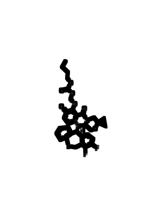 CCCCOC(=O)OCOc1c2n(ccc1=O)N([C@@H]1c3ccccc3SCc3c1ccc(F)c3F)[C@@H]1COC3(CC3)CN1C2=O